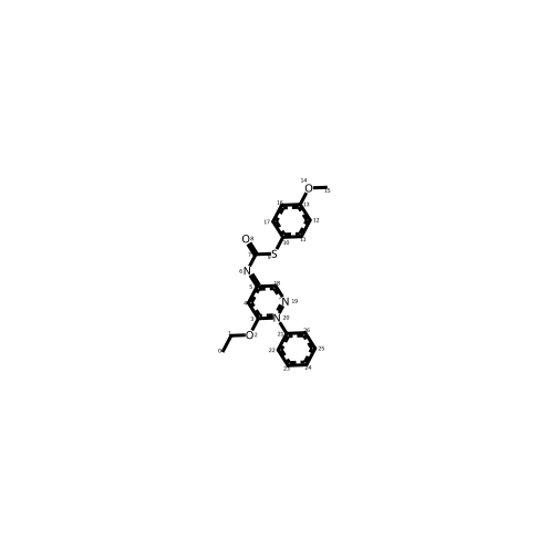 CCOc1cc(=NC(=O)Sc2ccc(OC)cc2)cnn1-c1ccccc1